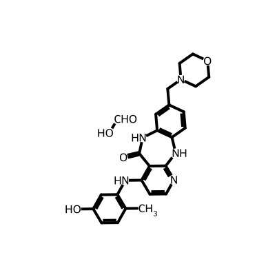 Cc1ccc(O)cc1Nc1ccnc2c1C(=O)Nc1cc(CN3CCOCC3)ccc1N2.O=CO